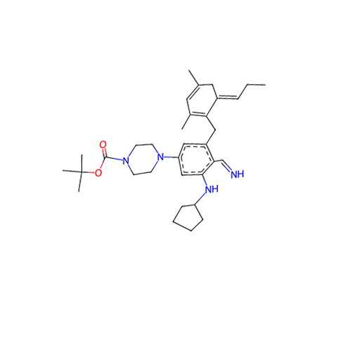 CCC=C1CC(C)=CC(C)=C1Cc1cc(N2CCN(C(=O)OC(C)(C)C)CC2)cc(NC2CCCC2)c1C=N